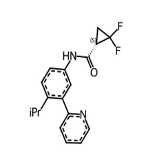 CC(C)c1ccc(NC(=O)[C@@H]2CC2(F)F)cc1-c1ccccn1